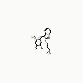 CN(C)CCCNc1nn2ccccc2c1/N=C1\C=C(Cl)C(=O)C=C1O